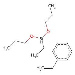 C=Cc1ccccc1.CCCO[SiH](CC)OCCC